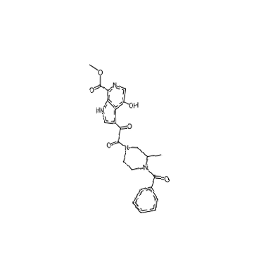 COC(=O)c1ncc(O)c2c(C(=O)C(=O)N3CCN(C(=O)c4ccccc4)C(C)C3)c[nH]c12